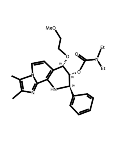 CCN(CC)C(=O)O[C@@H]1[C@@H](c2ccccc2)Nc2c(ccn3c(C)c(C)nc23)[C@@H]1OCCOC